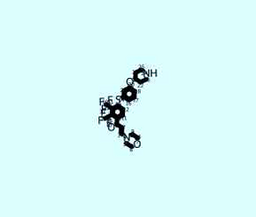 O=C(C=CN1CCOCC1)c1ccc(Sc2cccc(OC3CCNCC3)c2)c(C(F)(F)F)c1C(F)(F)F